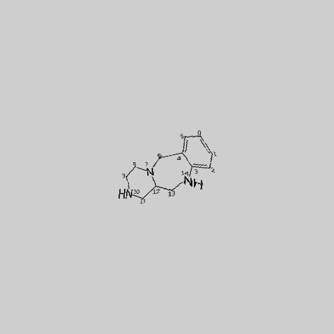 c1ccc2c(c1)CN1CCNCC1CN2